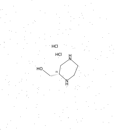 Cl.Cl.OC[C@@H]1CNCCN1